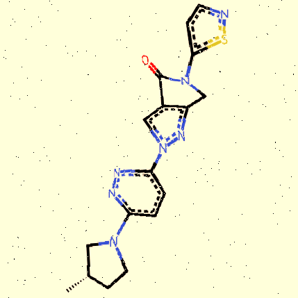 C[C@H]1CCN(c2ccc(-n3cc4c(n3)CN(c3ccns3)C4=O)nn2)C1